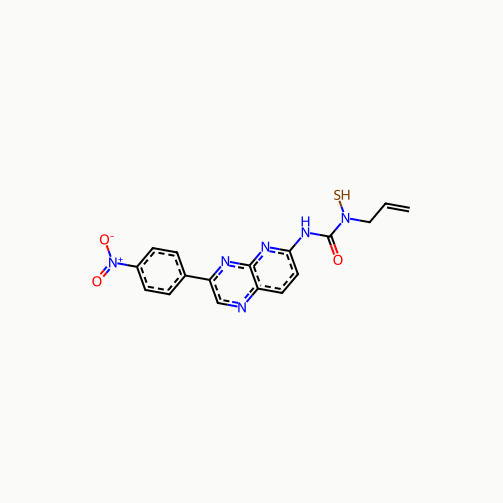 C=CCN(S)C(=O)Nc1ccc2ncc(-c3ccc([N+](=O)[O-])cc3)nc2n1